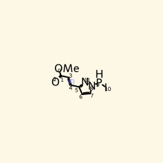 COC(=O)/C=C/c1ccn(PI)n1